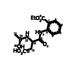 CCOC(=O)c1ccccc1NC(=O)C(CC(=O)O)NB(C)O